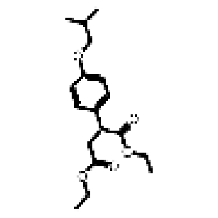 CCOC(=O)CC(C(=O)OCC)c1ccc(OCC(C)C)cc1